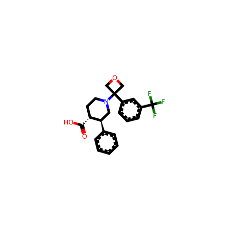 O=C(O)[C@@H]1CCN(C2(c3cccc(C(F)(F)F)c3)COC2)C[C@H]1c1ccccc1